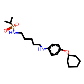 CC(C)S(=O)(=O)NCCCCCNc1ccc(OC2CCCCC2)cc1